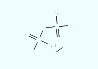 CCl.NP(=O)(Cl)SP(N)(=O)Cl